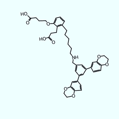 O=C(O)CCCOc1cccc(CCCCCCNCc2cc(-c3ccc4c(c3)OCCO4)cc(-c3ccc4c(c3)OCCO4)c2)c1CCC(=O)O